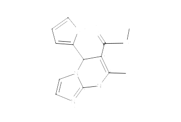 COC(=O)C1=C(C)Nc2nccn2C1c1cccs1